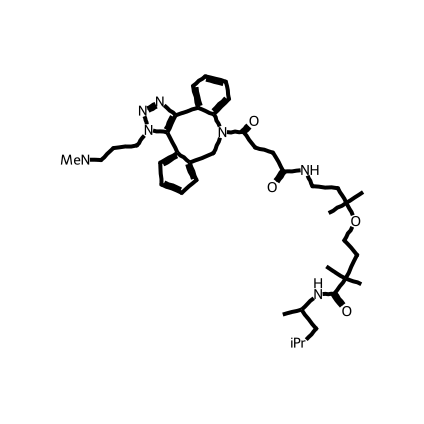 CNCCCn1nnc2c1-c1ccccc1CN(C(=O)CCC(=O)NCCC(C)(C)OCCC(C)(C)C(=O)NC(C)CC(C)C)c1ccccc1-2